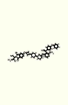 CCC(C(N)=O)N1C(=O)c2ccc(OC3CN(C4CCC(N5CCCC(Nc6ncnc(N)c6C(=N)c6ccc(Oc7ccccc7)cc6)C5)CC4)C3)cc2C1=O